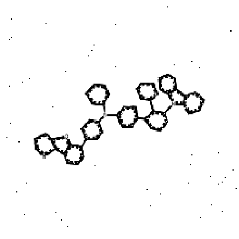 c1ccc(-c2c(-c3ccc(N(c4ccccc4)c4ccc(-c5cccc6c5oc5cccnc56)cc4)cc3)cccc2-n2c3ccccc3c3ccccc32)cc1